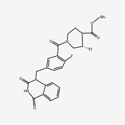 CC[C@@H]1CN(C(=O)c2cc(Cn3c(=O)[nH]c(=O)c4ccccc43)ccc2F)CCN1C(=O)OC(C)(C)C